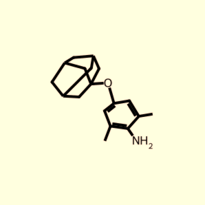 Cc1cc(OC23CC4CC(CC(C4)C2)C3)cc(C)c1N